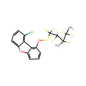 CC(F)(F)C(C)(F)C(F)(F)C(F)(F)SOc1cccc2oc3cccc(Cl)c3c12